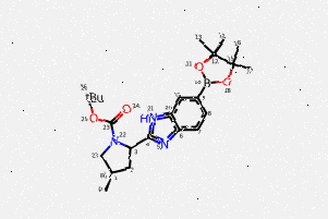 C[C@@H]1CC(c2nc3ccc(B4OC(C)(C)C(C)(C)O4)cc3[nH]2)N(C(=O)OC(C)(C)C)C1